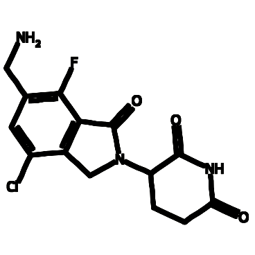 NCc1cc(Cl)c2c(c1F)C(=O)N(C1CCC(=O)NC1=O)C2